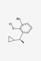 CCOc1c(C(C)CC)cccc1[C@@H](C)C1CC1